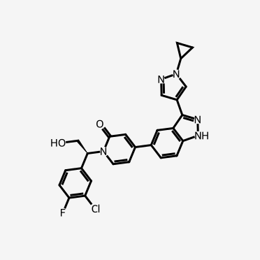 O=c1cc(-c2ccc3[nH]nc(-c4cnn(C5CC5)c4)c3c2)ccn1[C@H](CO)c1ccc(F)c(Cl)c1